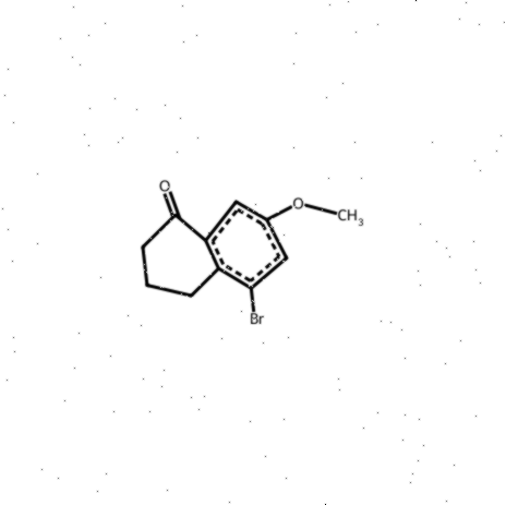 COc1cc(Br)c2c(c1)C(=O)CCC2